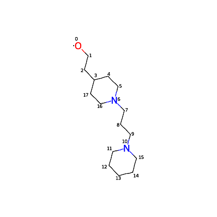 [O]CCC1CCN(CCCN2CCCCC2)CC1